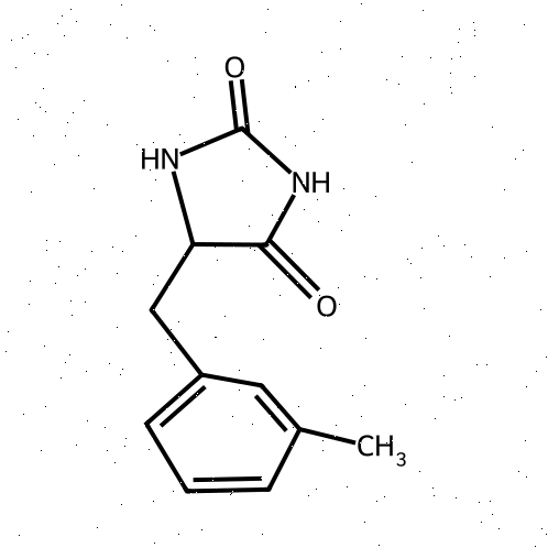 Cc1cccc(CC2NC(=O)NC2=O)c1